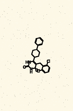 O=c1[nH]c(C2CCC(c3ccccc3)CC2)c(Cc2c(Cl)cccc2Cl)c(=O)[nH]1